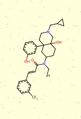 CC(C)CN(C(=O)/C=C/c1cccc(C(F)(F)F)c1)C1CCC2(O)CN(CC3CC3)CCC2(c2cccc(O)c2)C1